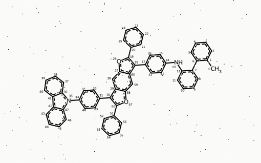 Cc1ccccc1-c1ccccc1Nc1ccc(-c2c(-c3ccccc3)oc3cc4c(-c5ccc(-n6c7ccccc7c7ccccc76)cc5)c(-c5ccccc5)oc4cc23)cc1